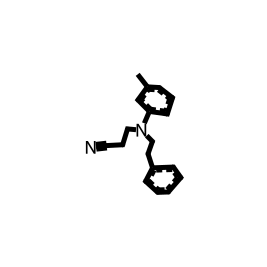 Cc1cccc(N(CCC#N)CCc2ccccc2)c1